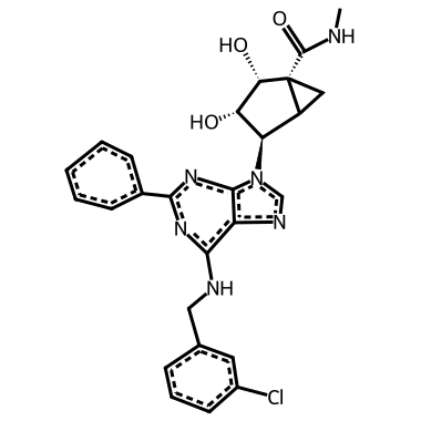 CNC(=O)[C@]12CC1[C@@H](n1cnc3c(NCc4cccc(Cl)c4)nc(-c4ccccc4)nc31)[C@H](O)[C@@H]2O